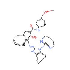 COc1ccc(NC(=O)c2cc3ccccc3c(/N=N/c3nc4ccccc4n3-c3ncccn3)c2O)cc1